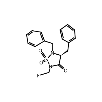 O=C1[C@H](Cc2ccccc2)N(Cc2ccccc2)S(=O)(=O)N1CF